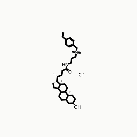 C=Cc1ccc(C[N+](C)(C)CCCNC(=O)CC[C@@H](C)[C@H]2CCC3C4CCC5C[C@H](O)CC[C@]5(C)C4CC[C@@]32C)cc1.[Cl-]